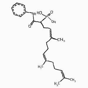 CC(C)=CCCC(C)=CCCC(C)=CCC(C(=O)Nc1ccccc1)P(=O)(O)O